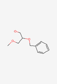 COCC(C[O])OCc1ccccc1